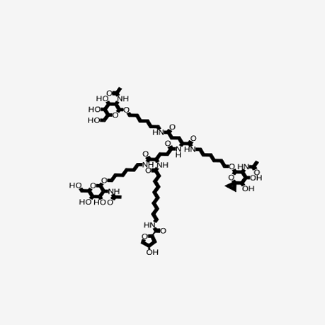 CC(=O)NC1C(OCCCCCCNC(=O)CCC(NC(=O)CCC(NC(=O)CCCCCCCCCNC(=O)[C@H]2C[C@@H](O)CO2)C(=O)NCCCCCCOC2OC(CO)C(O)C(O)C2NC(C)=O)C(=O)NCCCCCCOC2OC3(CC3)C(O)C(O)C2NC(C)=O)OC(CO)C(O)C1O